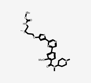 COc1cc(-c2cncc(-c3cc(OCC[C@H](C)CNC(=O)OC(C)(C)C)cs3)n2)ccc1C(=O)N(C)C1CCN(C)CC1